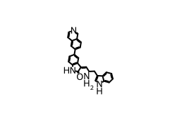 N[C@H](C=C1C(=O)Nc2ccc(-c3ccc4cnccc4c3)cc21)Cc1c[nH]c2ccccc12